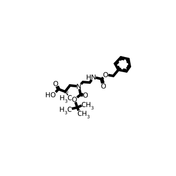 C[C@@H](CN(CCNC(=O)OCc1ccccc1)C(=O)OC(C)(C)C)C(=O)O